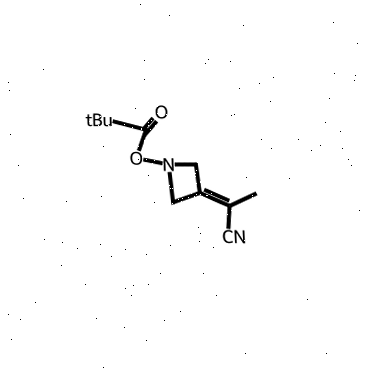 CC(C#N)=C1CN(OC(=O)C(C)(C)C)C1